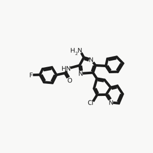 Nc1nc(-c2ccccc2)c(-c2cc(Cl)c3ncccc3c2)nc1NC(=O)c1ccc(F)cc1